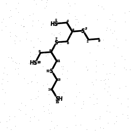 CCSC(CS)CSC(CS)CSCCS